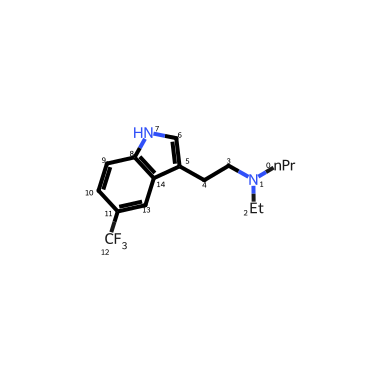 CCCN(CC)CCc1c[nH]c2ccc(C(F)(F)F)cc12